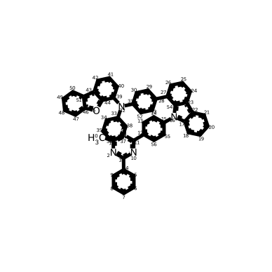 Cc1nc(-c2ccccc2)nc(-c2ccc(-n3c4ccccc4c4cccc(-c5ccc(N(c6ccccc6)c6cccc7c6oc6ccccc67)cc5)c43)cc2)n1